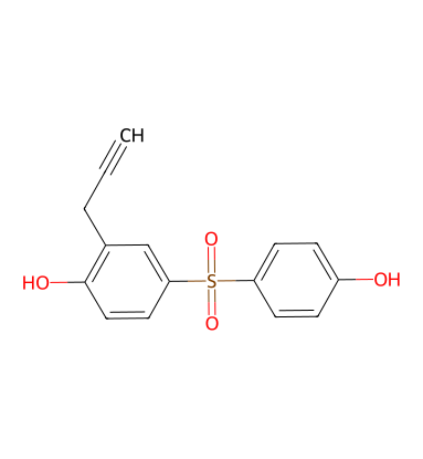 C#CCc1cc(S(=O)(=O)c2ccc(O)cc2)ccc1O